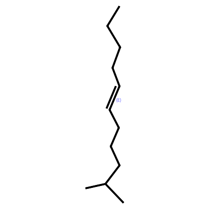 CCCC/C=C/CCCC(C)C